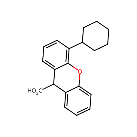 O=C(O)C1c2ccccc2Oc2c(C3CCCCC3)cccc21